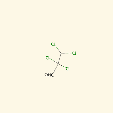 O=[C]C(Cl)(Cl)C(Cl)Cl